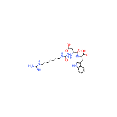 N=C(N)NCCCCCCCNC(=O)NN[C@@H](CC(=O)O)C(=O)N[C@@H](Cc1c[nH]c2ccccc12)C(=O)O